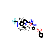 Cc1cc(-c2nnc(N[C@H]3CC[C@H]3COC(=O)c3ccccc3)o2)nc2c(C(C)(C)C)cc(NCC(F)(F)F)cc12